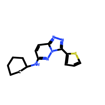 c1csc(-c2nnc3ccc(NC4CCCCC4)nn23)c1